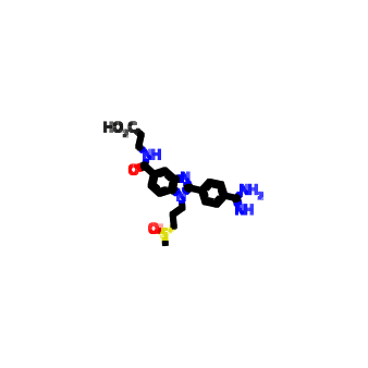 C[S+]([O-])CCCn1c(-c2ccc(C(=N)N)cc2)nc2cc(C(=O)NCCC(=O)O)ccc21